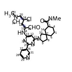 CNC(=O)C1CCCC2(CCN(c3cc(N/C(C=O)=C/C(Cl)=C\N(C)C)nc(-c4cccnc4)n3)C2)C1